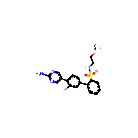 COCCNS(=O)(=O)c1ccccc1-c1ccc(-c2cnc(N)nc2)c(F)c1